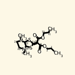 CCCOC(=O)C(C(=O)OCCC)=C1SC2C(S1)N(C)CCN2C